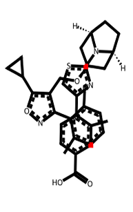 Cc1cc(C(=O)O)ccc1-c1csc(N2[C@@H]3CC[C@H]2C[C@@H](OCc2c(-c4c(C)cccc4Cl)noc2C2CC2)C3)n1